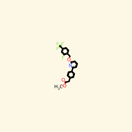 COC(=O)Cc1ccc(-c2cccc(OCc3ccc(C(F)(F)F)cc3F)n2)cc1